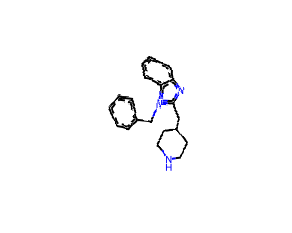 c1ccc(Cn2c(CC3CCNCC3)nc3ccccc32)cc1